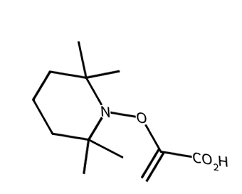 C=C(ON1C(C)(C)CCCC1(C)C)C(=O)O